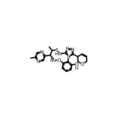 COc1cccc(O)c1-n1c(NSC(C)C(C)c2cnc(C)cn2)nnc1C1C=CCOC1